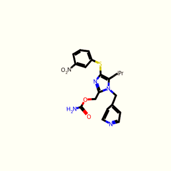 CC(C)c1c(Sc2cccc([N+](=O)[O-])c2)nc(COC(N)=O)n1Cc1ccncc1